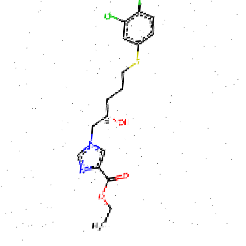 CCOC(=O)c1cn(C[C@@H](O)CCCSc2ccc(Cl)c(Cl)c2)cn1